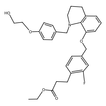 CCOC(=O)CCc1ccc(COc2cccc3c2N(Cc2ccc(OCCO)cc2)CCC3)cc1F